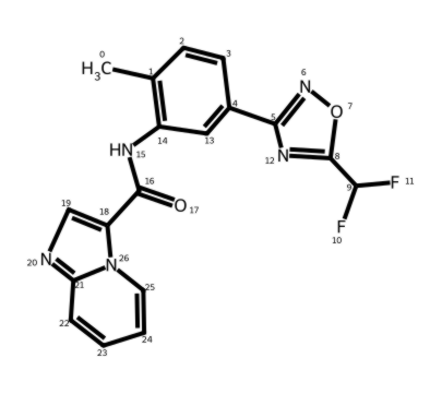 Cc1ccc(-c2noc(C(F)F)n2)cc1NC(=O)c1cnc2ccccn12